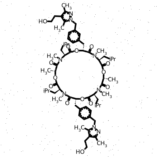 Cc1nn(Cc2ccc(C[C@H]3OC(=O)[C@H](CC(C)C)N(C)C(=O)[C@@H](C)OC(=O)[C@H](CC(C)C)N(C)C(=O)[C@@H](Cc4cccc(Cn5nc(C)c(CCO)c5C)c4)OC(=O)[C@H](CC(C)C)N(C)C(=O)[C@@H](C)OC(=O)[C@H](CC(C)C)N(C)C3=O)cc2)c(C)c1CCO